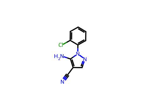 N#Cc1cnn(-c2ccccc2Cl)c1N